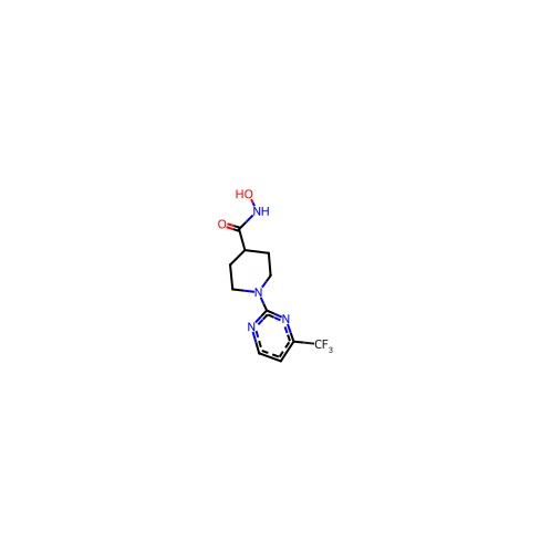 O=C(NO)C1CCN(c2nccc(C(F)(F)F)n2)CC1